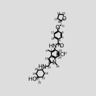 Cc1c(NC(=O)c2ccc(OC[C@@H]3CCCO3)cc2)ccc2c1cc(CN[C@H]1CC[C@](C)(O)CC1)n2C.Cl